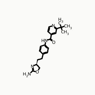 CC(C)(C)c1cc(C(=O)Nc2ccc(CC[C@H]3COC(N)=N3)cc2)ccn1